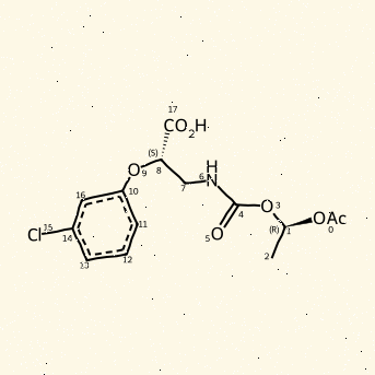 CC(=O)O[C@@H](C)OC(=O)NC[C@H](Oc1cccc(Cl)c1)C(=O)O